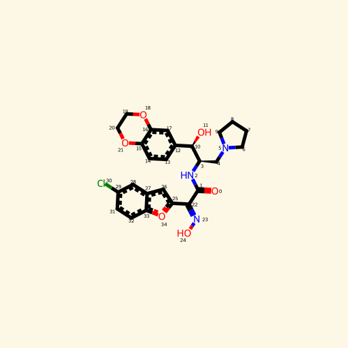 O=C(N[C@H](CN1CCCC1)[C@H](O)c1ccc2c(c1)OCCO2)/C(=N/O)c1cc2cc(Cl)ccc2o1